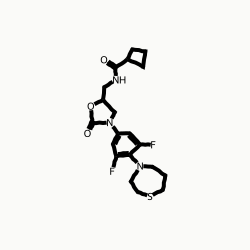 O=C(NCC1CN(c2cc(F)c(N3CCCSCC3)c(F)c2)C(=O)O1)C1CCC1